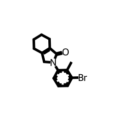 Cc1c(Br)cccc1N1CC2=C(CCCC2)C1=O